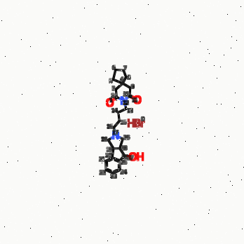 Br.O=C1CC2(CCCC2)CC(=O)N1CCCCN1CC2c3ccccc3C(O)C2C1